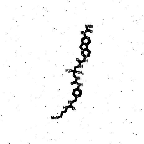 CNCCCNC(=O)NCc1ccc(NC(=O)NCC(C)(C)CNC(=O)Nc2ccc3c(c2)Cc2cc(NC(=O)NC)ccc2-3)cc1